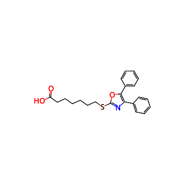 O=C(O)CCCCCCSc1nc(-c2ccccc2)c(-c2ccccc2)o1